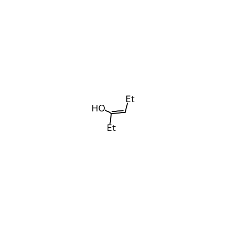 [CH2]CC(O)=CCC